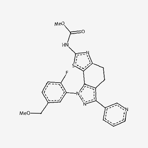 COCc1ccc(F)c(-n2nc(-c3cccnc3)c3c2-c2sc(NC(=O)OC)nc2CC3)c1